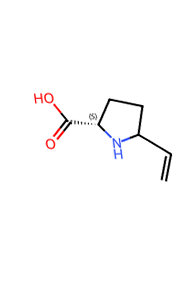 C=CC1CC[C@@H](C(=O)O)N1